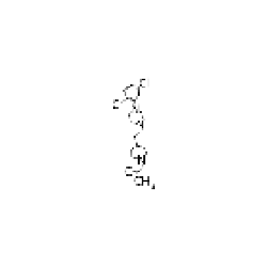 CC(=O)CN1CCC(CCN2CCN(c3cc(Cl)ccc3Cl)CC2)CC1